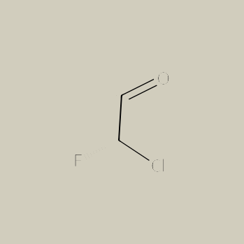 O=[C][C@@H](F)Cl